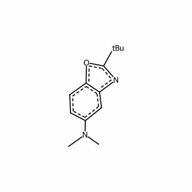 CN(C)c1ccc2oc(C(C)(C)C)nc2c1